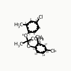 Cc1cc(Cl)ccc1OC(C)(Oc1ccc(Cl)cc1C)C(=O)O